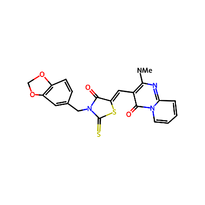 CNc1nc2ccccn2c(=O)c1C=C1SC(=S)N(Cc2ccc3c(c2)OCO3)C1=O